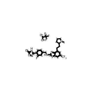 CN1CCCC1CCc1cc(C(F)(F)F)cc2sc(NCc3ccc(-c4noc(=O)[nH]4)c(F)c3)nc12.O=C(O)C(F)(F)F